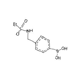 CCS(=O)(=O)NCc1ccc(B(O)O)cc1